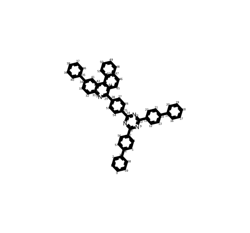 c1ccc(-c2ccc(-c3nc(-c4ccc(-c5ccccc5)cc4)nc(-c4ccc(-c5nc6ccc(-c7ccccc7)cc6c6c5ccc5ccccc56)cc4)n3)cc2)cc1